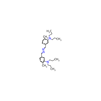 CCCN(CCC)c1cc(C=NN=Cc2ccc(C)c(N(CCC)CCC)c2)ccc1C